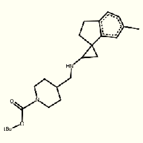 Cc1ccc2c(c1)C1(CC2)CC1NCC1CCN(C(=O)OC(C)(C)C)CC1